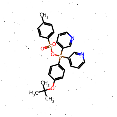 Cc1ccc(S(=O)(=O)OS(c2ccc(OC(C)(C)C)cc2)(c2cccnc2)c2cccnc2)cc1